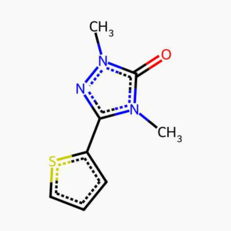 Cn1nc(-c2cccs2)n(C)c1=O